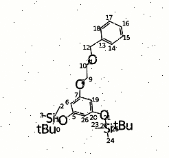 CC(C)(C)[Si](C)(C)Oc1cc(OCCOCc2ccccc2)cc(O[Si](C)(C)C(C)(C)C)c1